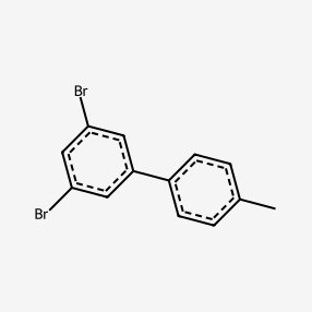 Cc1ccc(-c2cc(Br)cc(Br)c2)cc1